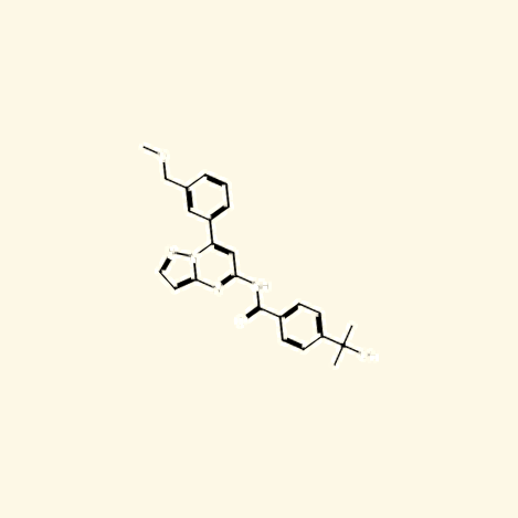 COCc1cccc(-c2cc(NC(=O)c3ccc(C(C)(C)O)cc3)nc3ccnn23)c1